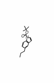 CCCc1ccc2c(ccn2C(=O)OC(C)(C)C)c1